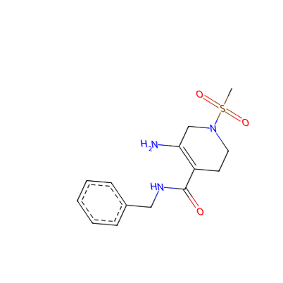 CS(=O)(=O)N1CCC(C(=O)NCc2ccccc2)=C(N)C1